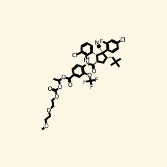 COCCOCCOC(=O)OC(C)OC(=O)c1ccc(NC(=O)[C@@H]2C[C@@H](CC(C)(C)C)[C@](C#N)(c3ccc(Cl)cc3F)[C@H]2c2cccc(Cl)c2F)c(OC(F)(F)F)c1